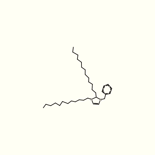 CCCCCCCCCCCCCC1N(CCCCCCCCCCCC)C=CN1Cc1ccccc1